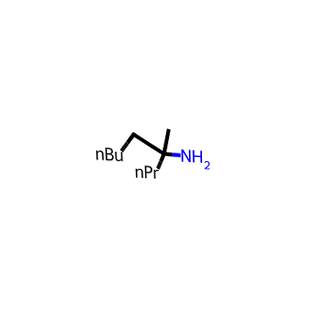 CCCCCC(C)(N)CCC